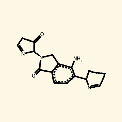 Nc1c(C2CCC=N2)ccc2c1CN(C1N=CCC1=O)C2=O